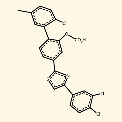 Cc1ccc(Cl)c(-c2ccc(-c3nc(-c4ccc(Cl)c(Cl)c4)cs3)cc2OC(=O)O)c1